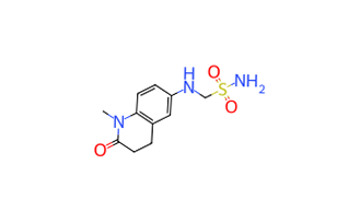 CN1C(=O)CCc2cc(NCS(N)(=O)=O)ccc21